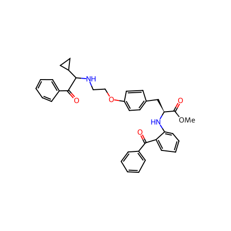 COC(=O)[C@H](Cc1ccc(OCCNC(C(=O)c2ccccc2)C2CC2)cc1)Nc1ccccc1C(=O)c1ccccc1